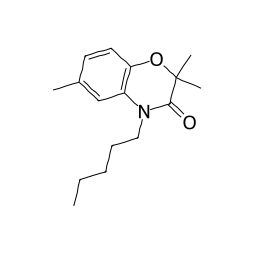 CCCCCN1C(=O)C(C)(C)Oc2ccc(C)cc21